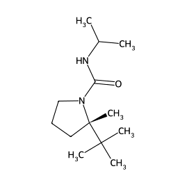 CC(C)NC(=O)N1CCC[C@@]1(C)C(C)(C)C